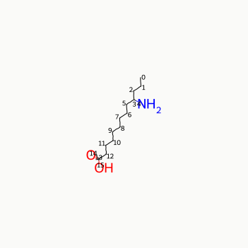 CCCC(N)CCCCCCCCC(=O)O